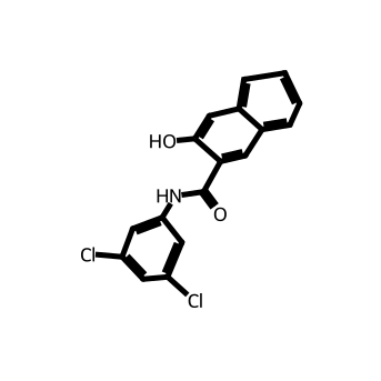 O=C(Nc1cc(Cl)cc(Cl)c1)c1cc2ccccc2cc1O